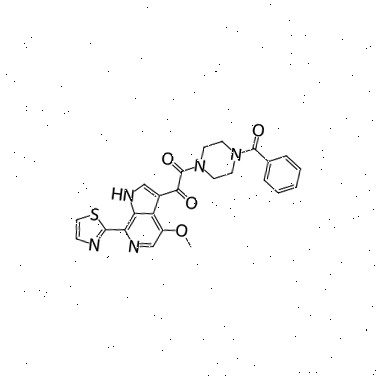 COc1cnc(-c2nccs2)c2[nH]cc(C(=O)C(=O)N3CCN(C(=O)c4ccccc4)CC3)c12